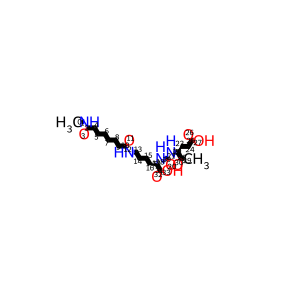 CNC(=O)CCCCCCC(=O)NCCCC[C@@H](NC(=O)N[C@@H](CCC(=O)O)C(C)=O)C(=O)O